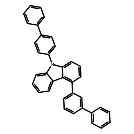 c1ccc(-c2ccc(-n3c4ccccc4c4c(-c5cccc(-c6ccccc6)c5)cccc43)cc2)cc1